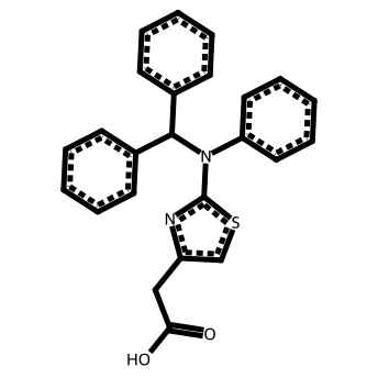 O=C(O)Cc1csc(N(c2ccccc2)C(c2ccccc2)c2ccccc2)n1